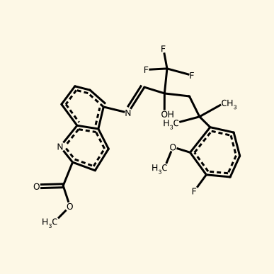 COC(=O)c1ccc2c(N=CC(O)(CC(C)(C)c3cccc(F)c3OC)C(F)(F)F)cccc2n1